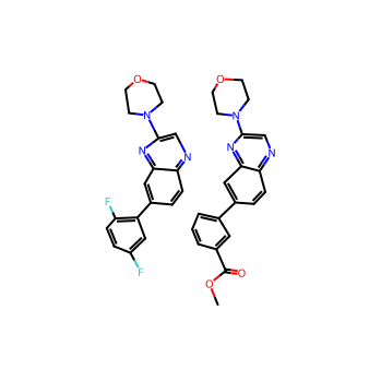 COC(=O)c1cccc(-c2ccc3ncc(N4CCOCC4)nc3c2)c1.Fc1ccc(F)c(-c2ccc3ncc(N4CCOCC4)nc3c2)c1